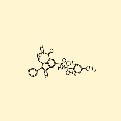 Cc1ccc(C(C)(C)NC(=O)c2cc3c4c(c(-c5ccccc5)[nH]c4c2)C=NNC3=O)cc1